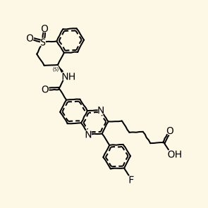 O=C(O)CCCCc1nc2cc(C(=O)N[C@H]3CCS(=O)(=O)c4ccccc43)ccc2nc1-c1ccc(F)cc1